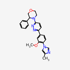 COc1cc(-c2ccc(N3CCOCC3c3ccccc3)nn2)ccc1-n1cnc(C)c1